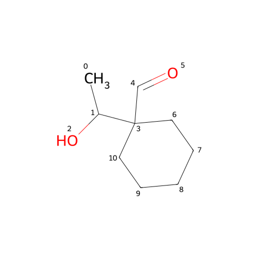 CC(O)C1(C=O)CCCCC1